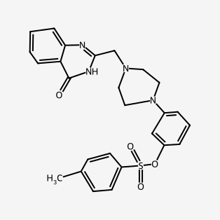 Cc1ccc(S(=O)(=O)Oc2cccc(N3CCN(Cc4nc5ccccc5c(=O)[nH]4)CC3)c2)cc1